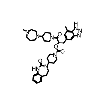 Cc1cc(C[C@@H](OC(=O)N2CCC(N3CCc4ccccc4NC3=O)CC2)C(=O)N2CCC(N3CCCN(C)CC3)CC2)cc2nn[nH]c12